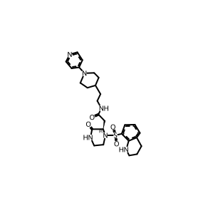 O=C(C[C@@H]1C(=O)NCCN1S(=O)(=O)c1cccc2c1NCCC2)NCCC1CCN(c2ccncc2)CC1